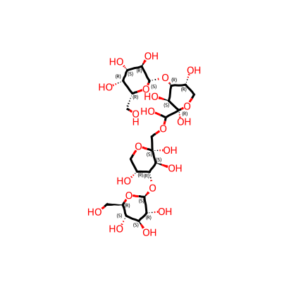 OC[C@H]1O[C@@H](O[C@@H]2[C@H](O)CO[C@@](O)(C(O)OC[C@]3(O)OC[C@@H](O)[C@@H](O[C@@H]4O[C@H](CO)[C@@H](O)[C@H](O)[C@H]4O)[C@@H]3O)[C@H]2O)[C@H](O)[C@@H](O)[C@H]1O